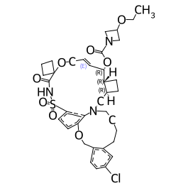 CCOC1CN(C(=O)O[C@H]2/C=C/COC3(CCC3)C(=O)NS(=O)(=O)c3ccc4c(c3)N(CCCCc3cc(Cl)ccc3CO4)C[C@@H]3CC[C@H]32)C1